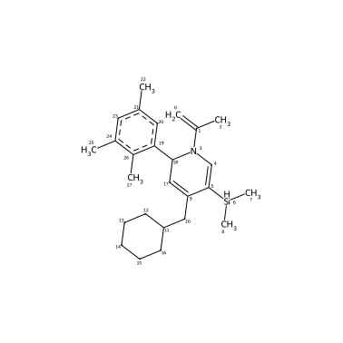 C=C(C)N1C=C([SiH](C)C)C(CC2CCCCC2)=CC1c1cc(C)cc(C)c1C